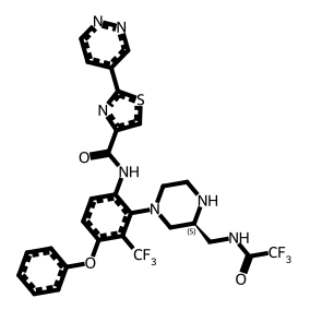 O=C(Nc1ccc(Oc2ccccc2)c(C(F)(F)F)c1N1CCN[C@@H](CNC(=O)C(F)(F)F)C1)c1csc(-c2ccnnc2)n1